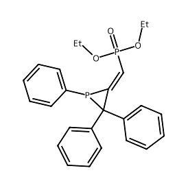 CCOP(=O)(C=C1P(c2ccccc2)C1(c1ccccc1)c1ccccc1)OCC